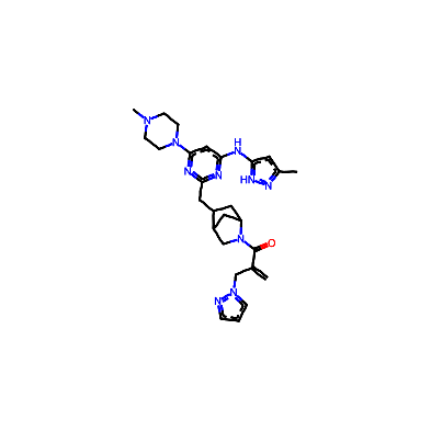 C=C(Cn1cccn1)C(=O)N1CC2CC1CC2Cc1nc(Nc2cc(C)n[nH]2)cc(N2CCN(C)CC2)n1